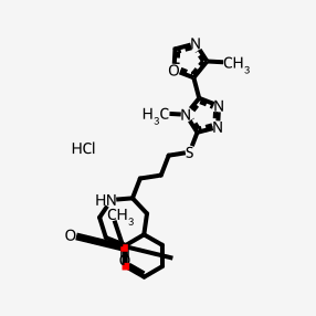 Cc1ncoc1-c1nnc(SCCCC2CC3CCC=C4OCC(=O)N(C)C43CCN2)n1C.Cl